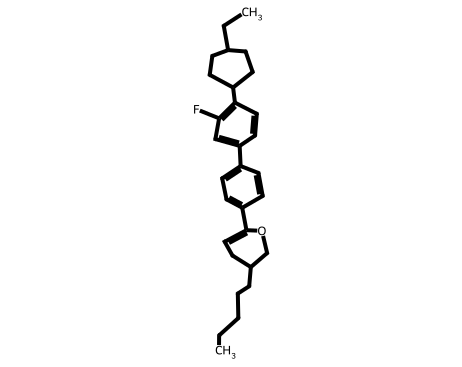 CCCCCC1CC=C(c2ccc(-c3ccc(C4CCC(CC)CC4)c(F)c3)cc2)OC1